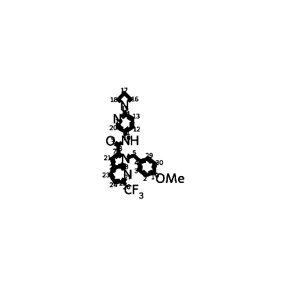 COc1ccc(Cn2c(C(=O)Nc3ccc(N4CCC4)nc3)cc3ccc(C(F)(F)F)nc32)cc1